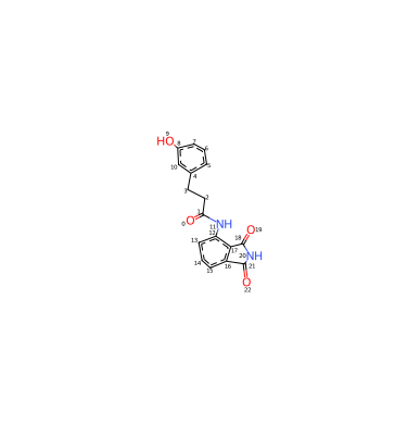 O=C(CCc1cccc(O)c1)Nc1cccc2c1C(=O)NC2=O